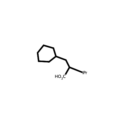 CC(C)C(CC1CCCCC1)C(=O)O